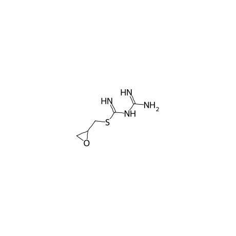 N=C(N)NC(=N)SCC1CO1